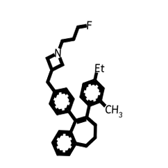 CCc1ccc(C2=C(c3ccc(CC4CN(CCCF)C4)cc3)c3ccccc3CCC2)c(C)c1